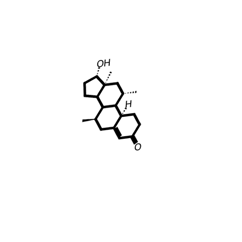 C[C@@H]1CC2=CC(=O)CC[C@@H]2C2C1C1CC[C@H](O)[C@@]1(C)C[C@@H]2C